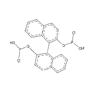 OP(Cl)Oc1ccc2ccccc2c1-c1c(OP(O)Cl)ccc2ccccc12